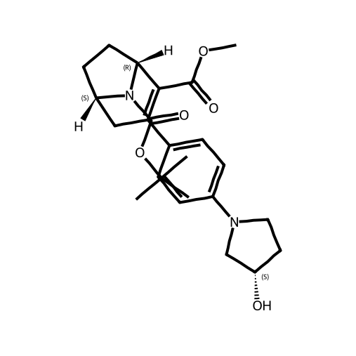 COC(=O)C1=C(c2ccc(N3CC[C@H](O)C3)cc2)C[C@@H]2CC[C@H]1N2C(=O)OC(C)(C)C